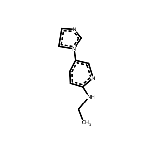 CCNc1ccc(-n2ccnc2)cn1